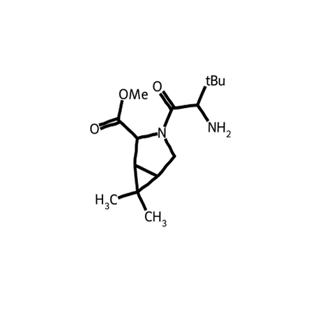 COC(=O)C1C2C(CN1C(=O)C(N)C(C)(C)C)C2(C)C